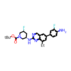 CCc1cc(-c2ccc(N)c(F)c2)cc2cnc(N[C@H]3C[C@H](F)CN(C(=O)OC(C)(C)C)C3)nc12